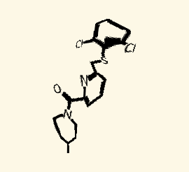 CC1CCN(C(=O)c2cccc(CSc3c(Cl)cccc3Cl)n2)CC1